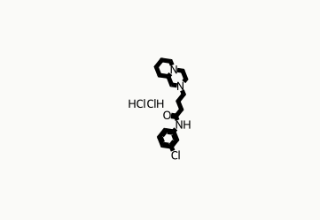 Cl.Cl.O=C(CCCN1CCN2CCCCC2C1)Nc1cccc(Cl)c1